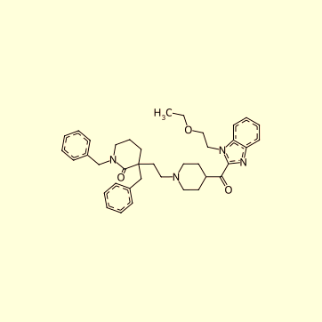 CCOCCn1c(C(=O)C2CCN(CCC3(Cc4ccccc4)CCCN(Cc4ccccc4)C3=O)CC2)nc2ccccc21